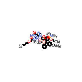 CC/C=C/C=C/OCC(=O)Nc1nc2c(ncn2C2OC(COP(OCCC#N)N(C(C)C)C(C)C)C(OC(c3ccccc3)(c3ccccc3)c3ccc(OC)cc3)C2O[Si](C)(C)C(C)(C)C)c(=O)[nH]1